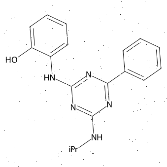 CC(C)Nc1nc(Nc2ccccc2O)nc(-c2ccccc2)n1